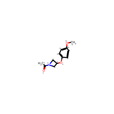 [CH2]C(=O)N1CC(Oc2ccc(OC)cc2)C1